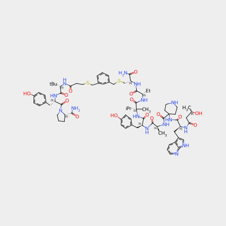 CC[C@H](NC(=O)[C@@](C)(NC(=O)[C@H](Cc1ccc(O)cc1)NC(=O)[C@H](C)NC(=O)C1(NC(=O)[C@H](Cc2c[nH]c3ncccc23)NC(=O)C[C@@H](C)O)CCNCC1)C(C)C)C(=O)N[C@H](CSCc1cccc(CSCCC(=O)N[C@H](C(=O)N[C@@H](Cc2ccc(O)cc2)C(=O)N2CCC[C@H]2C(N)=O)C(C)(C)C)c1)C(N)=O